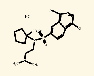 CCOC(=O)C1(N(CCN(C)C)S(=O)(=O)c2ccc3c(Cl)cnc(Cl)c3c2)CCCC1.Cl